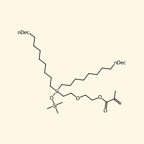 C=C(C)C(=O)OCCOCC[Si](CCCCCCCCCCCCCCCCCC)(CCCCCCCCCCCCCCCCCC)O[Si](C)(C)C